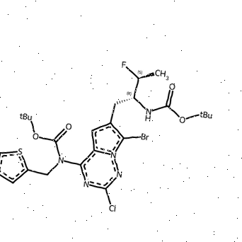 C[C@H](F)[C@@H](Cc1cc2c(N(Cc3cccs3)C(=O)OC(C)(C)C)nc(Cl)nn2c1Br)NC(=O)OC(C)(C)C